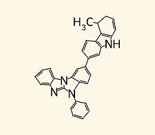 CC1CC=Cc2[nH]c3cc(-c4ccc5c(c4)n4c6ccccc6nc4n5-c4ccccc4)ccc3c21